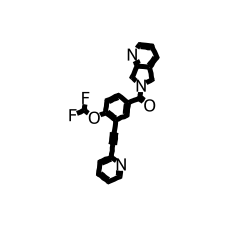 O=C(c1ccc(OC(F)F)c(C#Cc2ccccn2)c1)N1Cc2cccnc2C1